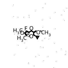 CCOC=C(C(=O)c1sc(C)c(OC)c1F)C(=O)C1CC1